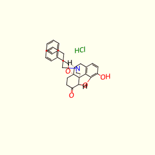 Cl.O=C1CC[C@@]2(OCCCc3ccccc3)[C@H]3Cc4ccc(O)c5c4[C@@]2(CCN3CCc2ccccc2)[C@H]1O5